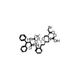 COC(=O)N[C@H](C(=O)Nc1ccccc1CC[C@@H]1CN(C(=O)O)[C@H](C(=O)CBr)CO1)C(c1ccccc1)c1ccccc1